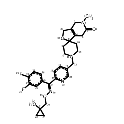 CN1CC2=C(CC1=O)C1(CCN(Cc3ccc(C(=NOCC4(O)CC4)c4ccc(F)c(F)c4)nc3)CC1)OC2